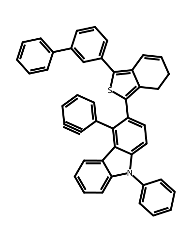 c1cccc(-c2c(-c3sc(-c4cccc(-c5ccccc5)c4)c4c3CCC=C4)ccc3c2c2ccccc2n3-c2ccccc2)c#1